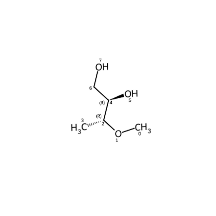 CO[C@H](C)[C@H](O)CO